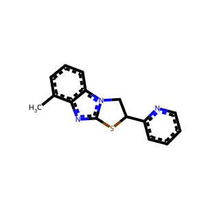 Cc1cccc2c1nc1n2CC(c2ccccn2)S1